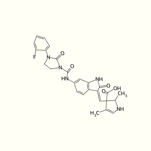 CC1=CNC(C)C1(C=C1C(=O)Nc2cc(NC(=O)N3CCN(c4ccccc4F)C3=O)ccc21)C(=O)O